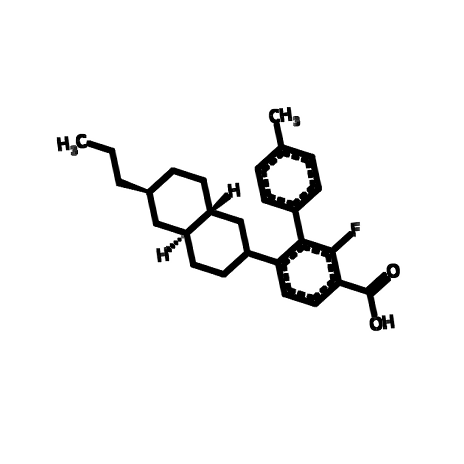 CCC[C@H]1CC[C@@H]2CC(c3ccc(C(=O)O)c(F)c3-c3ccc(C)cc3)CC[C@H]2C1